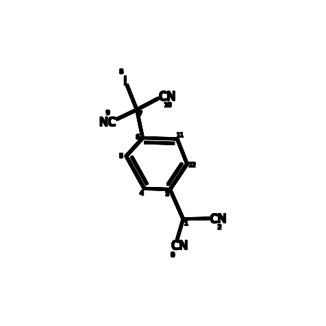 N#CC(C#N)c1ccc(C(I)(C#N)C#N)cc1